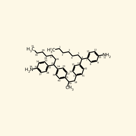 CCCCCCC(c1ccc(N)cc1)c1ccc(CC(C)c2ccc(C(CCCCCC)c3ccc(N)cc3)cc2)cc1